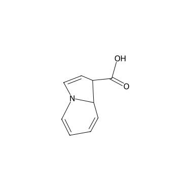 O=C(O)C1C=CN2C=CC=CC12